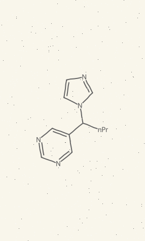 [CH2]CCC(c1cncnc1)n1ccnc1